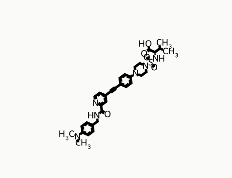 CC(C)[C@@H](NS(=O)(=O)N1CCN(c2ccc(C#Cc3ccnc(C(=O)NCc4ccc(N(C)C)cc4)c3)cc2)CC1)C(=O)O